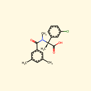 Cc1cc(C)cc(C(=O)N(C)[C@@](C)(C(=O)O)c2cccc(Cl)c2)c1